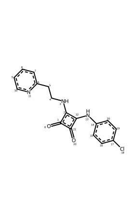 O=c1c(NCCc2ccccn2)c(Nc2ccc(Cl)cc2)c1=O